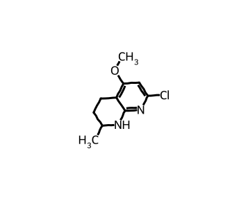 COc1cc(Cl)nc2c1CCC(C)N2